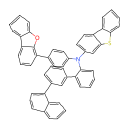 c1cc(-c2ccccc2N(c2ccc(-c3cccc4c3oc3ccccc34)cc2)c2ccc3c(c2)sc2ccccc23)cc(-c2cccc3ccccc23)c1